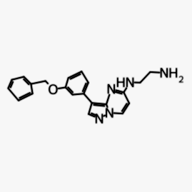 NCCNc1ccn2ncc(-c3cccc(OCc4ccccc4)c3)c2n1